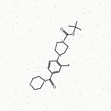 CC(C)(C)OC(=O)N1CCN(c2ccc(C(=O)N3CCSCC3)cc2F)CC1